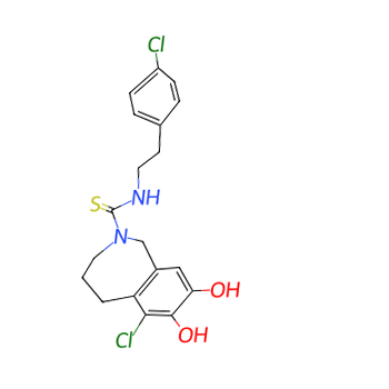 Oc1cc2c(c(Cl)c1O)CCCN(C(=S)NCCc1ccc(Cl)cc1)C2